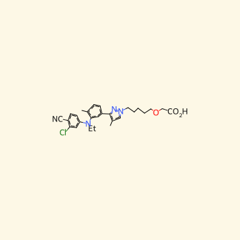 CCN(c1ccc(C#N)c(Cl)c1)c1cc(-c2nn(CCCCCOCC(=O)O)cc2C)ccc1C